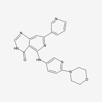 O=c1[nH]cnc2cc(-c3cccnc3)nc(Nc3ccc(N4CCOCC4)nc3)c12